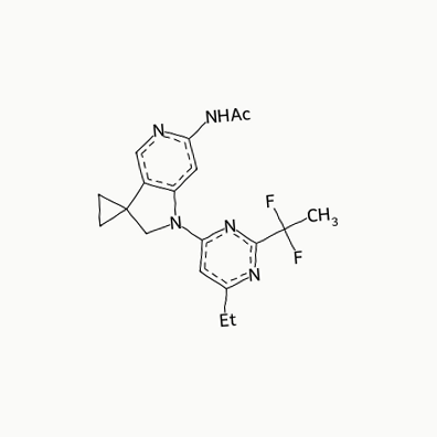 CCc1cc(N2CC3(CC3)c3cnc(NC(C)=O)cc32)nc(C(C)(F)F)n1